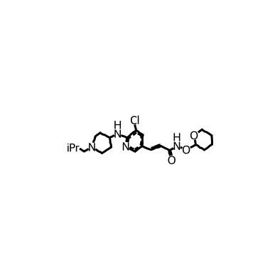 CC(C)CN1CCC(Nc2ncc(/C=C/C(=O)NOC3CCCCO3)cc2Cl)CC1